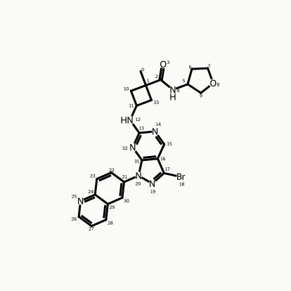 CC1(C(=O)NC2CCOC2)CC(Nc2ncc3c(Br)nn(-c4ccc5ncccc5c4)c3n2)C1